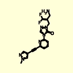 Cn1cc(C#Cc2cccc(-n3cnn(CC(CN)=C(F)F)c3=O)n2)cn1